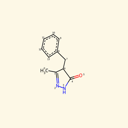 CC1=NNC(=O)C1Cc1ccccc1